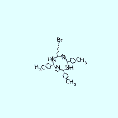 Cc1ccc(-c2c3nc(c(-c4ccc(C)cc4)c4ccc([nH]4)c(-c4ccc(C)cc4)c4nc(c(CCCCCCBr)c5ccc2[nH]5)C=C4)C=C3)cc1